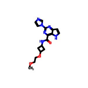 COCCOC1CC(NC(=O)c2nc(-n3ccnc3)nc3cc[nH]c23)C1